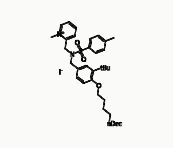 CCCCCCCCCCCCCCOc1ccc(CN(Cc2cccc[n+]2C)S(=O)(=O)c2ccc(C)cc2)cc1C(C)(C)C.[I-]